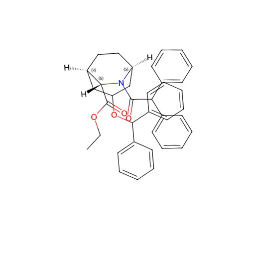 CCOC(=O)[C@@H]1[C@@H]2CC[C@@H](CC(OC(c3ccccc3)c3ccccc3)C2)N1C(=O)C(c1ccccc1)c1ccccc1